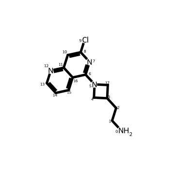 NCCC1CN(c2nc(Cl)cc3ncccc23)C1